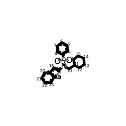 O=S(=O)(c1ccccc1)N(CC1CCCCC1)c1cc2ccccc2s1